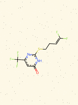 O=c1cc(C(F)(F)F)nc(SCCC=C(F)F)[nH]1